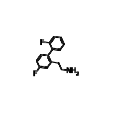 NCCc1cc(F)ccc1-c1ccccc1F